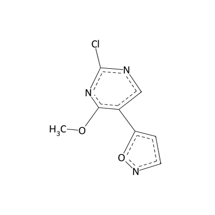 COc1nc(Cl)ncc1-c1ccno1